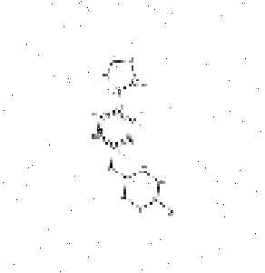 CC1CCC(Cc2ccc(C3OCCO3)cc2)CC1